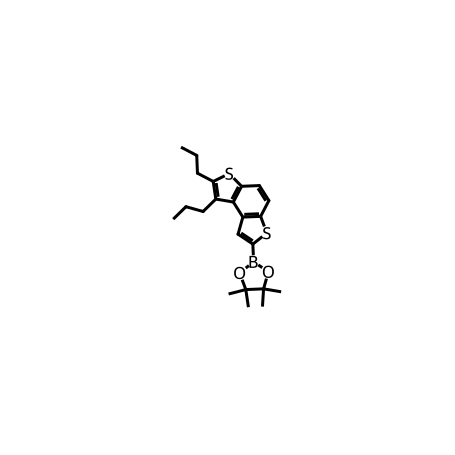 CCCc1sc2ccc3sc(B4OC(C)(C)C(C)(C)O4)cc3c2c1CCC